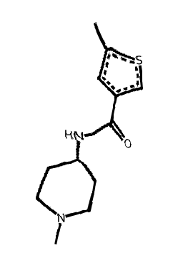 Cc1cc(C(=O)NC2CCN(C)CC2)cs1